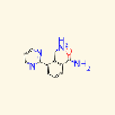 NCc1c(C(N)=O)cccc1-c1ncccn1